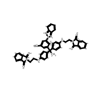 CC(C)(C)c1cc(-n2nc3ccccc3n2)c(O)c(C(C)(c2ccc(OCCN3C(=O)c4ccccc4C3=O)cc2)c2ccc(OCCN3C(=O)c4ccccc4C3=O)cc2)c1